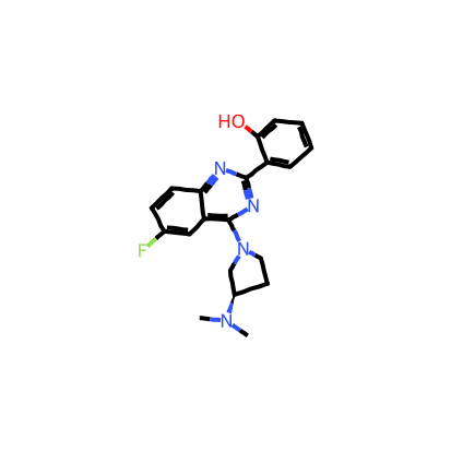 CN(C)[C@@H]1CCN(c2nc(-c3ccccc3O)nc3ccc(F)cc23)C1